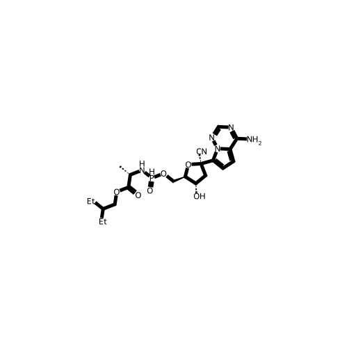 CCC(CC)COC(=O)[C@H](C)N[PH](=O)OC[C@H]1O[C@@](C#N)(c2ccc3c(N)ncnn23)C[C@@H]1O